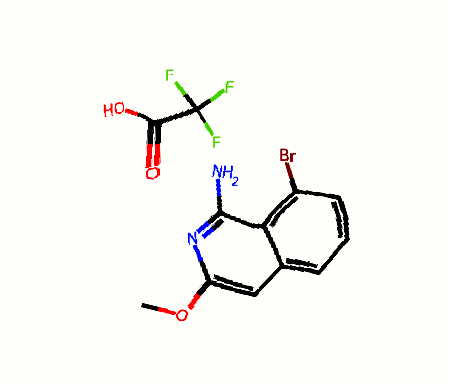 COc1cc2cccc(Br)c2c(N)n1.O=C(O)C(F)(F)F